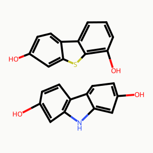 Oc1ccc2c(c1)[nH]c1cc(O)ccc12.Oc1ccc2c(c1)sc1c(O)cccc12